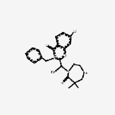 CC(C)C(c1nc2cc(Cl)ccc2c(=O)n1Cc1ccccc1)N1CCNCC(C)(C)C1=O